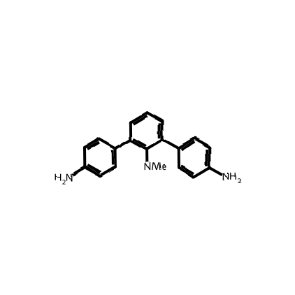 CNc1c(-c2ccc(N)cc2)cccc1-c1ccc(N)cc1